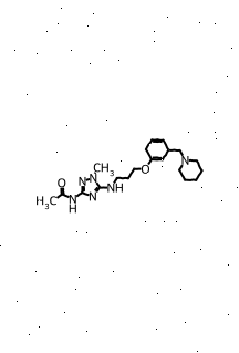 CC(=O)Nc1nc(NCCCOC2=CC(CN3CCCCC3)C=CC2)n(C)n1